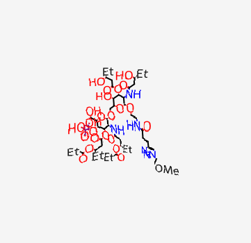 CCC(=O)O[C@H](CC)CC(=O)N[C@H]1C(OC(=O)C[C@@H](CC)OC(=O)CC)[C@H](OP(=O)(O)O)C(CO)O[C@H]1OCC1O[C@H](OCCNC(=O)CCc2cn(CCOC)nn2)C(NC(=O)C[C@H](O)CC)[C@@H](OC(=O)C[C@H](O)CC)[C@@H]1O